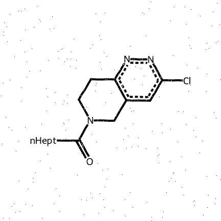 CCCCCCCC(=O)N1CCc2nnc(Cl)cc2C1